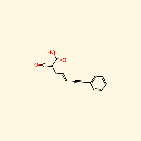 O=C=C(CC=CC#Cc1ccccc1)C(=O)O